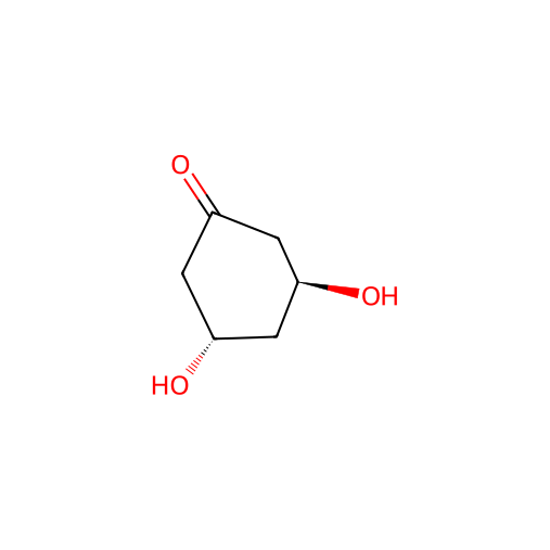 O=C1C[C@@H](O)C[C@H](O)C1